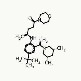 C=C(CCC(=O)N1CCOCC1)Nc1ccc(C(C)(C)C)cc1C(=C)N1C[C@H](C)C[C@H](C)C1